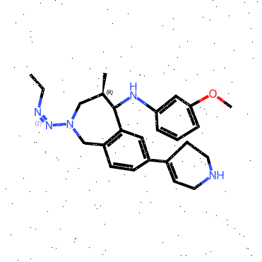 CC/N=N\N1Cc2ccc(C3=CCNCC3)cc2C(Nc2cccc(OC)c2)[C@H](C)C1